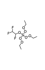 CCOO[Si](OOCC)(OOCC)OC(F)C(F)F